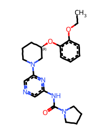 CCOc1ccccc1O[C@@H]1CCCN(c2cncc(NC(=O)N3CCCC3)n2)C1